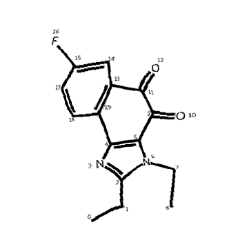 CCc1nc2c(n1CC)C(=O)C(=O)c1cc(F)ccc1-2